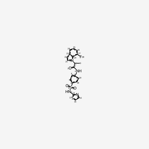 CC(C(=O)Nc1ccc(S(=O)(=O)Nc2nccs2)cc1)n1ccc2cccc(F)c21